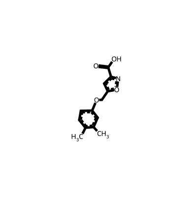 Cc1ccc(OCc2cc(C(=O)O)no2)cc1C